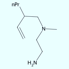 C=CC(CCC)CN(C)CCN